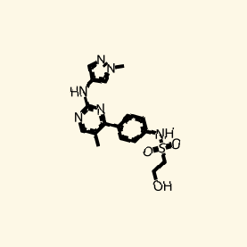 Cc1cnc(Nc2cnn(C)c2)nc1-c1ccc(NS(=O)(=O)CCO)cc1